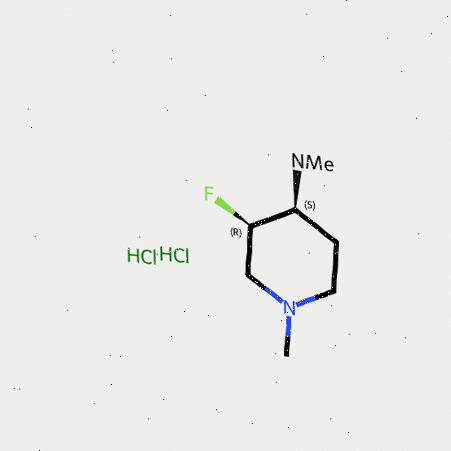 CN[C@H]1CCN(C)C[C@H]1F.Cl.Cl